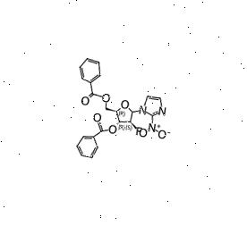 O=C(OC[C@H]1OC(n2ccnc2[N+](=O)[O-])[C@@H](F)[C@@H]1OC(=O)c1ccccc1)c1ccccc1